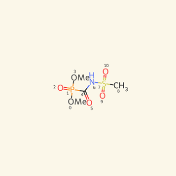 COP(=O)(OC)C(=O)NS(C)(=O)=O